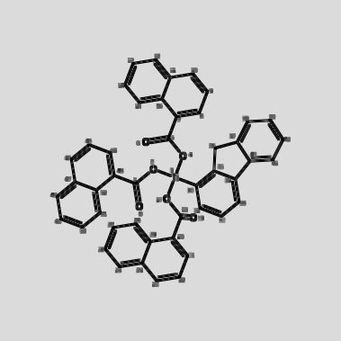 O=C([O][Ti]([O]C(=O)c1cccc2ccccc12)([O]C(=O)c1cccc2ccccc12)[c]1cccc2c1Cc1ccccc1-2)c1cccc2ccccc12